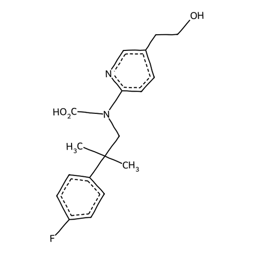 CC(C)(CN(C(=O)O)c1ccc(CCO)cn1)c1ccc(F)cc1